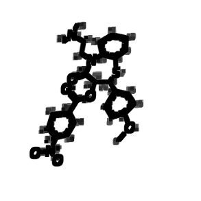 COc1ccc([C@@H]2Sc3ccccc3N(CCN(C)C)C(=O)[C@@H]2OC(=O)c2ccc([N+](=O)[O-])cc2)cc1